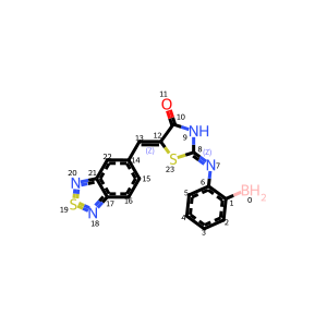 Bc1ccccc1/N=C1/NC(=O)/C(=C/c2ccc3nsnc3c2)S1